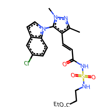 CCOC(=O)CCNS(=O)(=O)NC(=O)/C=C/c1c(C)nn(C)c1-n1ccc2cc(Cl)ccc21